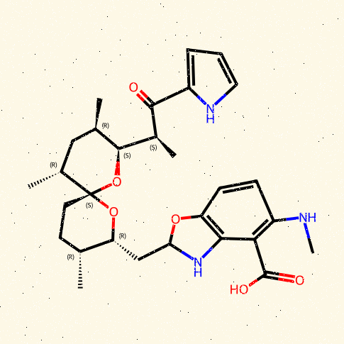 CNc1ccc2c(c1C(=O)O)NC(C[C@H]1O[C@@]3(CC[C@H]1C)O[C@H]([C@H](C)C(=O)c1ccc[nH]1)[C@H](C)C[C@H]3C)O2